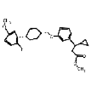 COC(=O)CC(c1cccc(OC[C@H]2CC[C@@H](c3cc(OC)ccc3F)CC2)c1)C1CC1